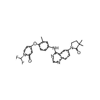 Cc1cc(Nc2ncnc3ccc(N4CCC(C)(C)C4=O)cc23)ccc1Oc1ccn(C(F)F)c(=O)c1